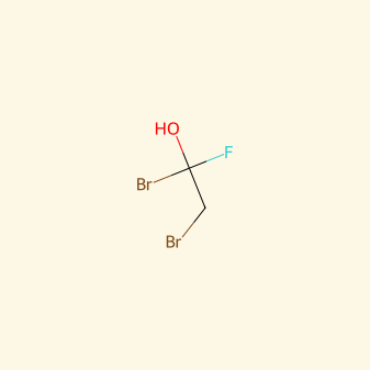 OC(F)(Br)CBr